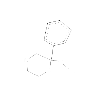 COC1(c2ccccc2)CNCCO1